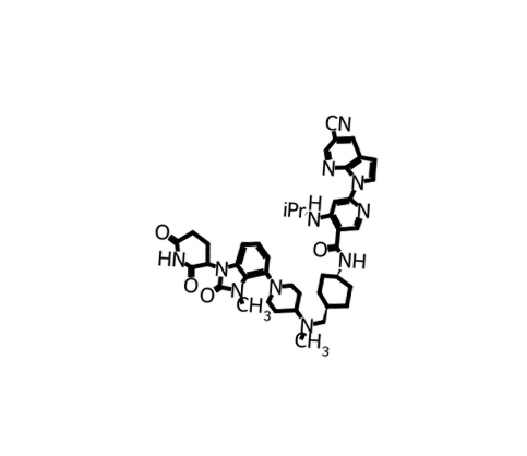 CC(C)Nc1cc(-n2ccc3cc(C#N)cnc32)ncc1C(=O)N[C@H]1CC[C@H](CN(C)C2CCN(c3cccc4c3n(C)c(=O)n4C3CCC(=O)NC3=O)CC2)CC1